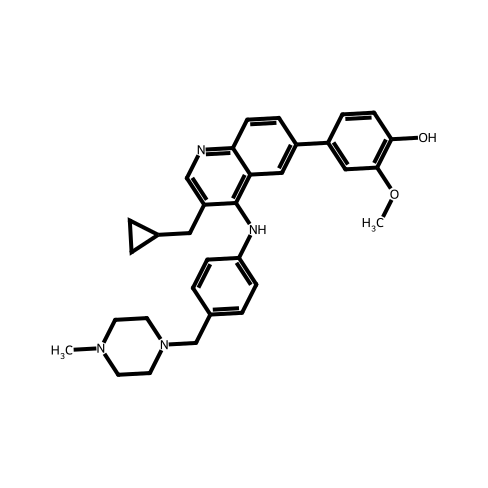 COc1cc(-c2ccc3ncc(CC4CC4)c(Nc4ccc(CN5CCN(C)CC5)cc4)c3c2)ccc1O